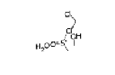 CO.C[S+](C)[O-].ClCCl.O